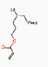 C=CC(=O)OCCCC(CC)CC(C)CCC